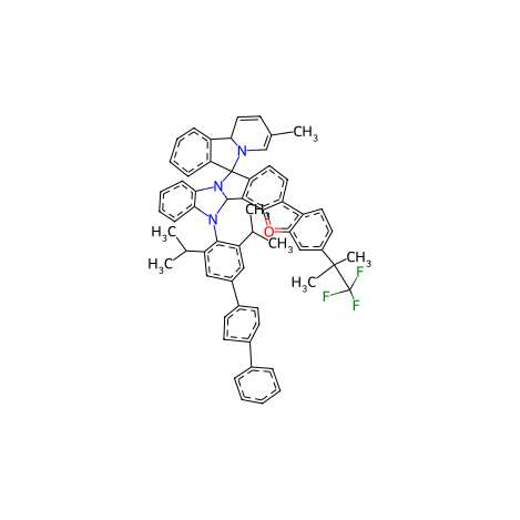 CC1=CN2C(C=C1)c1ccccc1C21c2ccc3c(oc4cc(C(C)(C)C(F)(F)F)ccc43)c2C2N(c3c(C(C)C)cc(-c4ccc(-c5ccccc5)cc4)cc3C(C)C)c3ccccc3N21